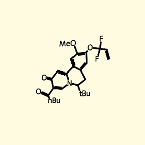 C=CC(F)(F)Oc1cc2c(cc1OC)-c1cc(=O)c(C(=O)CCCC)cn1C(C(C)(C)C)C2